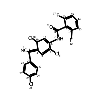 N#CC(=C1C=C(Cl)C(NC(=O)c2c(F)cccc2F)=CC1Cl)c1ccc(Cl)cc1